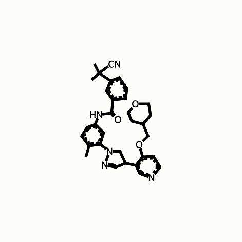 Cc1ccc(NC(=O)c2cccc(C(C)(C)C#N)c2)cc1N1CC(c2cnccc2OCC2CCOCC2)C=N1